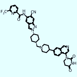 N#Cc1cc2nn([C@H]3CC[C@H](CN4CCC(c5ccc6c(N7CCC(=O)NC7=O)cncc6c5)CC4)CC3)cc2cc1NC(=O)c1cccc(C(F)(F)F)n1